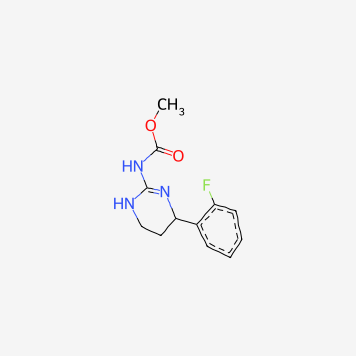 COC(=O)NC1=NC(c2ccccc2F)CCN1